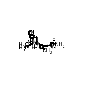 Cc1ccc(NC(=O)Nc2cc(C(C)(C)C)nn2-c2ccc3ncccc3c2)cc1C#Cc1cnc(N)c(F)c1